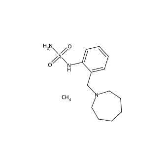 C.NS(=O)(=O)Nc1ccccc1CN1CCCCCC1